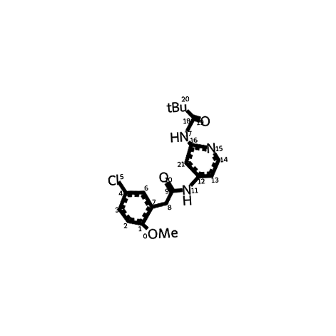 COc1ccc(Cl)cc1CC(=O)Nc1ccnc(NC(=O)C(C)(C)C)c1